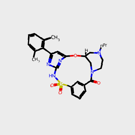 CCCN1CCN2C[C@@H](C1)Oc1cc(-c3c(C)cccc3C)nc(n1)NS(=O)(=O)c1cccc(c1)C2=O